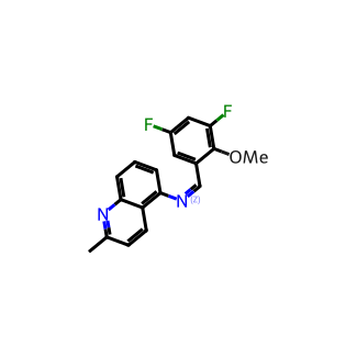 COc1c(F)cc(F)cc1/C=N\c1cccc2nc(C)ccc12